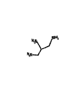 [SiH3]CC([SiH3])C[SiH3]